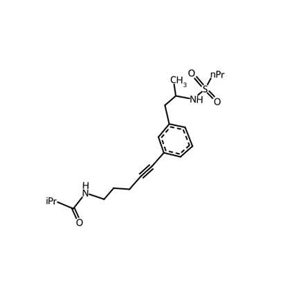 CCCS(=O)(=O)NC(C)Cc1cccc(C#CCCCNC(=O)C(C)C)c1